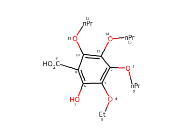 CCCOc1c(OCC)c(O)c(C(=O)O)c(OCCC)c1OCCC